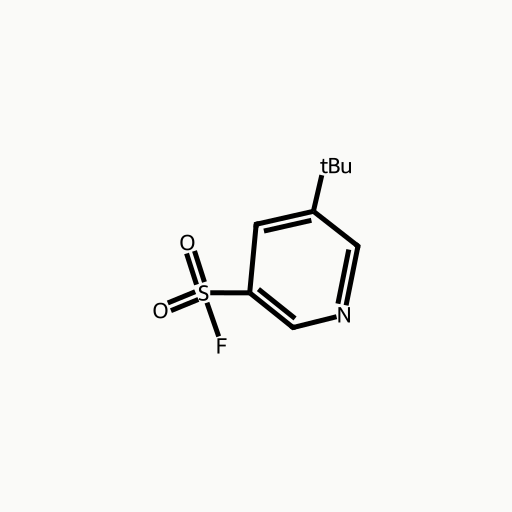 CC(C)(C)c1cncc(S(=O)(=O)F)c1